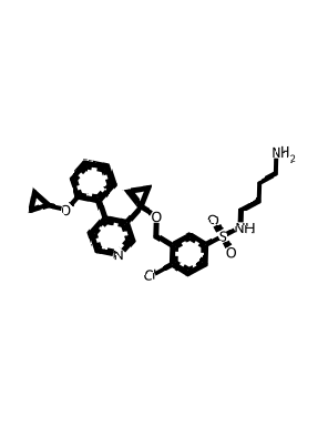 NCCCCNS(=O)(=O)c1ccc(Cl)c(COC2(c3cnccc3-c3ccccc3OC3CC3)CC2)c1